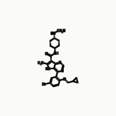 Cc1[nH]c2c(-c3cc(C(C)C)ccc3OCC3CC3)ncnc2c1C(=O)NC1CCC(NC(=O)O)CC1